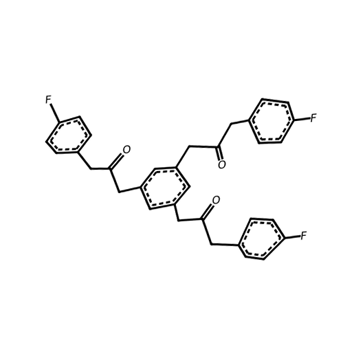 O=C(Cc1ccc(F)cc1)Cc1cc(CC(=O)Cc2ccc(F)cc2)cc(CC(=O)Cc2ccc(F)cc2)c1